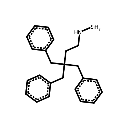 [SiH3]NCCC(Cc1ccccc1)(Cc1ccccc1)Cc1ccccc1